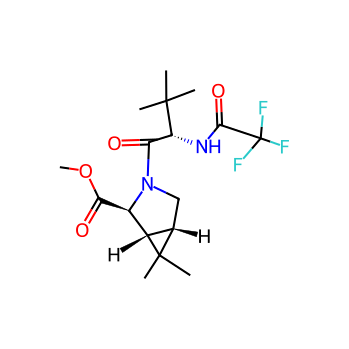 COC(=O)[C@@H]1[C@@H]2[C@H](CN1C(=O)[C@@H](NC(=O)C(F)(F)F)C(C)(C)C)C2(C)C